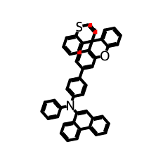 c1ccc(N(c2ccc(-c3ccc4c(c3)Oc3ccccc3C43c4ccccc4Sc4ccccc43)cc2)c2cc3ccccc3c3ccccc23)cc1